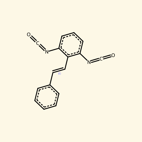 O=C=Nc1cccc(N=C=O)c1/C=C/c1ccccc1